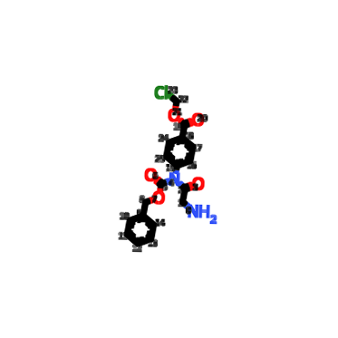 NCC(=O)N(C(=O)OCc1ccccc1)c1ccc(C(=O)OCCl)cc1